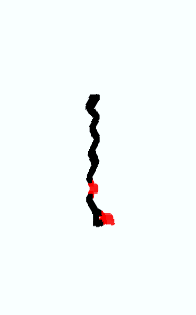 C=CCCCC=CCOCC1CO1